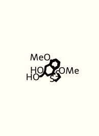 COc1ccc(OC)c2c1CC(O)(CO)CC21SCCS1